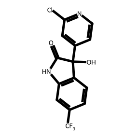 O=C1Nc2cc(C(F)(F)F)ccc2C1(O)c1ccnc(Cl)c1